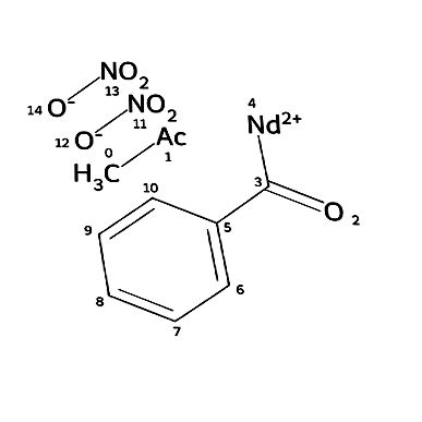 CC(C)=O.O=[C]([Nd+2])c1ccccc1.O=[N+]([O-])[O-].O=[N+]([O-])[O-]